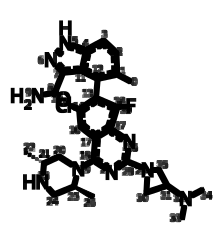 Cc1ccc2[nH]nc(C(N)=O)c2c1-c1c(Cl)cc2c(N3C[C@@H](C)NC[C@@H]3C)nc(N3CC(N(C)C)C3)nc2c1F